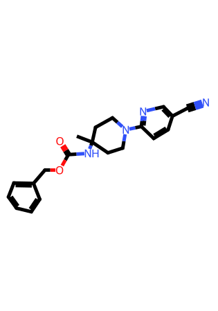 CC1(NC(=O)OCc2ccccc2)CCN(c2ccc(C#N)cn2)CC1